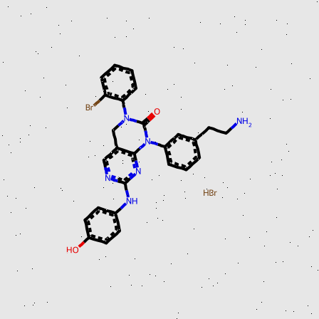 Br.NCCc1cccc(N2C(=O)N(c3ccccc3Br)Cc3cnc(Nc4ccc(O)cc4)nc32)c1